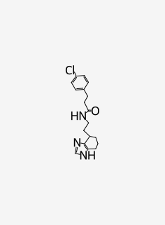 O=C(CCc1ccc(Cl)cc1)NCCC1CCCc2[nH]cnc21